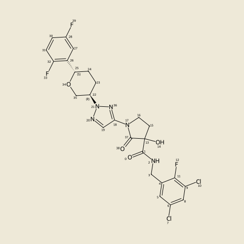 O=C(NCc1cc(Cl)cc(Cl)c1F)C1(O)CCN(c2cnn([C@@H]3CC[C@@H](c4cc(F)ccc4F)OC3)n2)C1=O